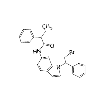 CCC(C(=O)Nc1ccc2ccn(C(CBr)c3ccccc3)c2c1)c1ccccc1